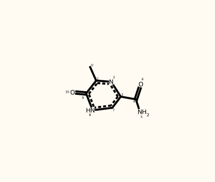 Cc1nc(C(N)=O)c[nH]c1=O